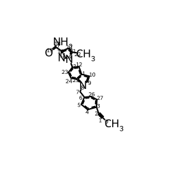 CC#Cc1ccc(Cn2ccc3cc(-n4nc(C(N)=O)cc4C)ccc32)cc1